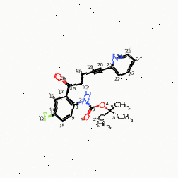 CC(C)(C)OC(=O)Nc1ccc(F)cc1C(=O)CCC#Cc1ccccn1